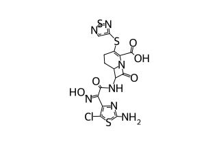 Nc1nc(/C(=N/O)C(=O)NC2C(=O)N3C(C(=O)O)=C(Sc4cnsn4)CCC23)c(Cl)s1